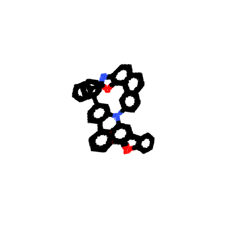 c1ccc(-c2ccc(-c3ccccc3)c(N(c3ccc4oc5ccccc5c4c3)c3ccc4ccc5ccc6nc(-c7ccccc7)oc6c5c4c3)c2)cc1